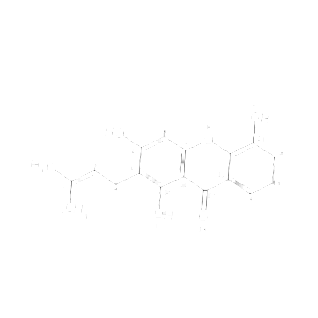 CC(C)=CCc1c(O)cc2oc3c(c(=O)c2c1O)=CCCC=3O